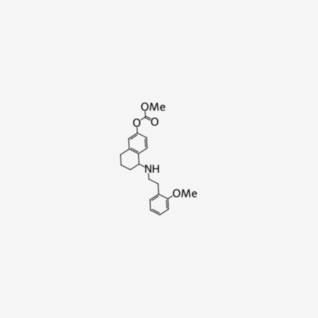 COC(=O)Oc1ccc2c(c1)CCCC2NCCc1ccccc1OC